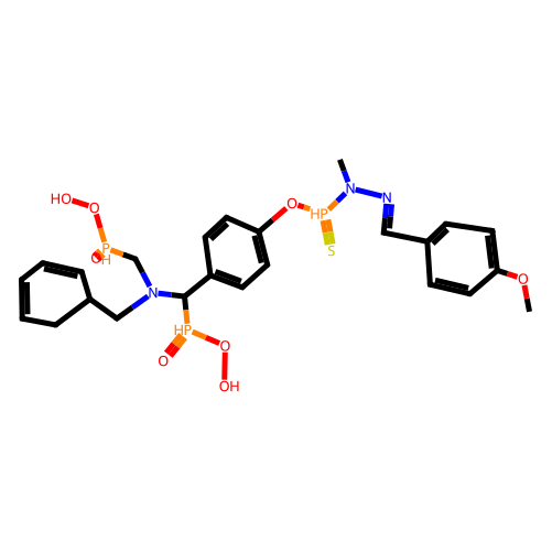 COc1ccc(/C=N/N(C)[PH](=S)Oc2ccc(C(N(CC3C=CC=CC3)C[PH](=O)OO)[PH](=O)OO)cc2)cc1